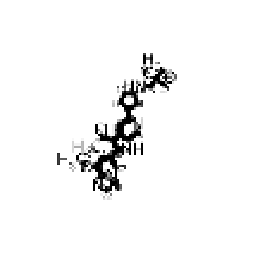 COc1cc(-c2[nH]c3cnc(C4CCC(NCC5(C)COC5)C4)cc3c2C(C)C)cn2ncnc12